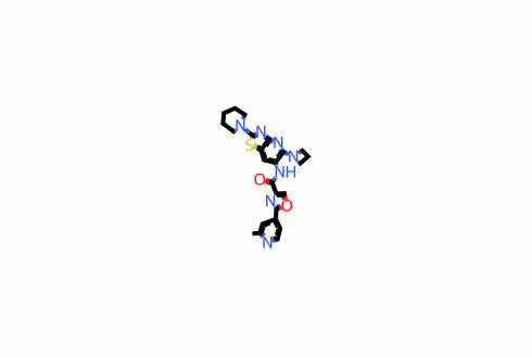 Cc1cc(-c2nc(C(=O)Nc3cc4sc(N5CCCCC5)nc4nc3N3CCC3)co2)ccn1